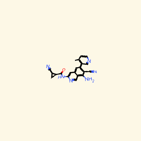 Cc1ccncc1-c1cc2cc(NC(=O)C3CC3C#N)ncc2c(N)c1C#N